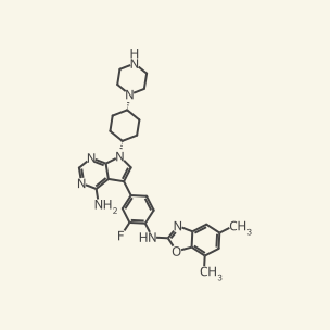 Cc1cc(C)c2oc(Nc3ccc(-c4cn([C@H]5CC[C@@H](N6CCNCC6)CC5)c5ncnc(N)c45)cc3F)nc2c1